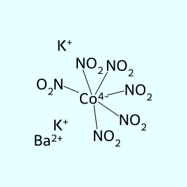 O=[N+]([O-])[Co-4]([N+](=O)[O-])([N+](=O)[O-])([N+](=O)[O-])([N+](=O)[O-])[N+](=O)[O-].[Ba+2].[K+].[K+]